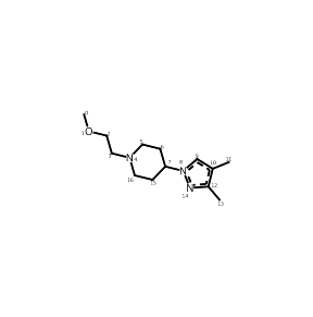 COCCN1CCC(n2cc(C)c(C)n2)CC1